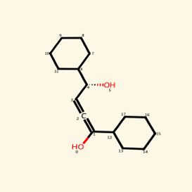 OC(=C=C[C@@H](O)C1CCCCC1)C1CCCCC1